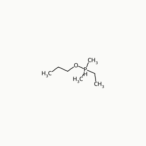 CCCO[PH](C)(C)CC